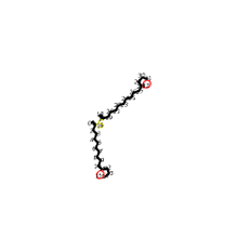 C=C(CCCCCCCCCC1CCCO1)SC(=C)CCCCCCCCCC1CCCO1